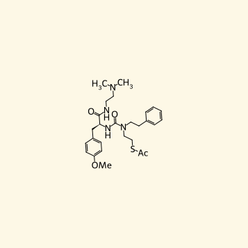 COc1ccc(C[C@H](NC(=O)N(CCSC(C)=O)CCc2ccccc2)C(=O)NCCN(C)C)cc1